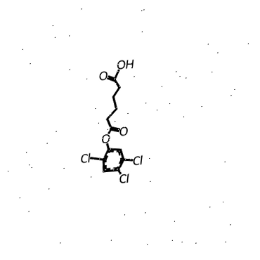 O=C(O)CCCCC(=O)Oc1cc(Cl)c(Cl)cc1Cl